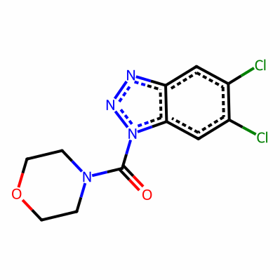 O=C(N1CCOCC1)n1nnc2cc(Cl)c(Cl)cc21